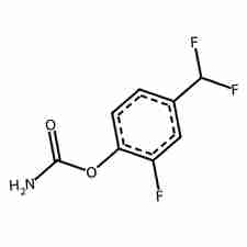 NC(=O)Oc1ccc(C(F)F)cc1F